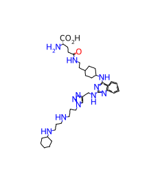 N[C@@H](CCC(=O)NCCC1CCC(Nc2nc(NCc3cn(CCCNCCCNC4CCCCC4)nn3)nc3ccccc23)CC1)C(=O)O